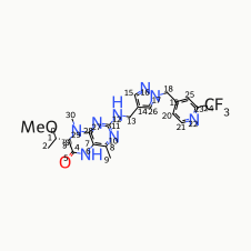 COC(C)[C@H]1C(=O)Nc2c(C)nc(NCc3cnn(Cc4ccnc(C(F)(F)F)c4)c3)nc2N1C